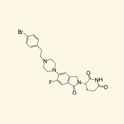 O=C1CCC(N2Cc3cc(N4CCN(CCc5ccc(Br)cc5)CC4)c(F)cc3C2=O)C(=O)N1